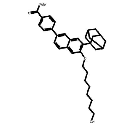 COC(=O)c1ccc(-c2ccc3cc(OCCCCCCCCO)c(C45CC6CC(CC(C6)C4)C5)cc3c2)cc1